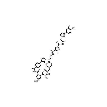 C/C(=N\OCCN1CCN(CC(=O)NC(C(=O)N2C[C@H](O)C[C@H]2C(=O)NC(C)c2ccc(-c3scnc3C)cc2)C(C)(C)C)CC1)c1cc(C(=O)NC(C)Cn2ccc(-c3ccc(C#N)c(Cl)c3)n2)n[nH]1